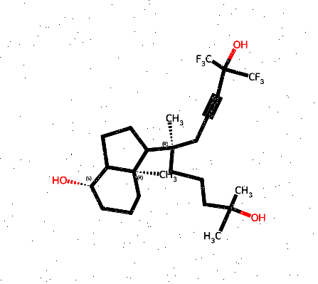 CC(C)(O)CCC[C@](C)(CC#CC(O)(C(F)(F)F)C(F)(F)F)C1CCC2[C@@H](O)CCC[C@@]21C